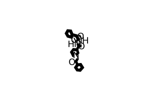 O=C(NNS(=O)(=O)Cc1ccccc1)C1=CC=CN(CC(=O)c2ccccc2)C1